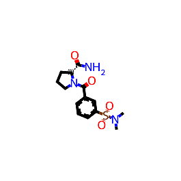 CN(C)S(=O)(=O)c1cccc(C(=O)N2CCC[C@@H]2C(N)=O)c1